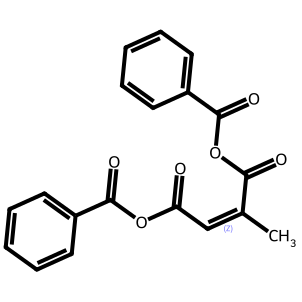 C/C(=C/C(=O)OC(=O)c1ccccc1)C(=O)OC(=O)c1ccccc1